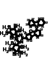 Bc1c(B)c(B)c(-c2nc(-c3ccc4c(c3)oc3c(-n5c6ccccc6c6ccccc65)cccc34)nc(-c3c(B)c(B)c(B)c(B)c3B)n2)c(B)c1B